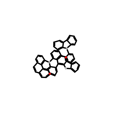 c1cc(-c2ccccc2-n2c3ccccc3c3ccccc32)cc(N(c2ccccc2-c2cccc3c2oc2ccccc23)c2cccc3ccc4ccccc4c23)c1